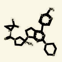 C[C@]1(N2CCc3c(-c4cnc(N)nc4)nc(N4CCOCC4)nc32)CCN(C(=O)[C@@H]2CC2(F)F)C1